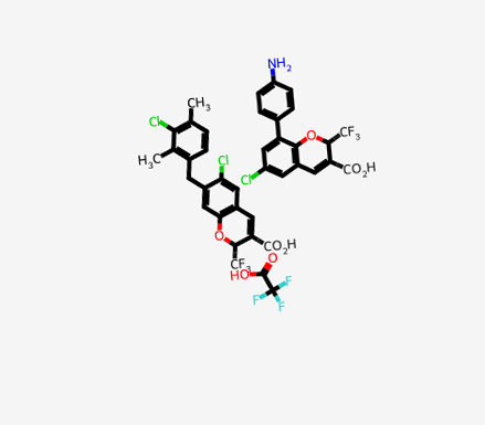 Cc1ccc(Cc2cc3c(cc2Cl)C=C(C(=O)O)C(C(F)(F)F)O3)c(C)c1Cl.Nc1ccc(-c2cc(Cl)cc3c2OC(C(F)(F)F)C(C(=O)O)=C3)cc1.O=C(O)C(F)(F)F